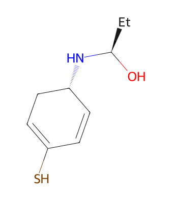 CC[C@@H](O)N[C@@H]1C=CC(S)=CC1